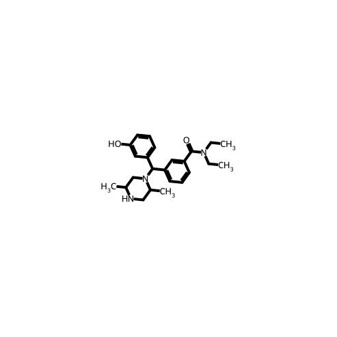 CCN(CC)C(=O)c1cccc(C(c2cccc(O)c2)N2CC(C)NCC2C)c1